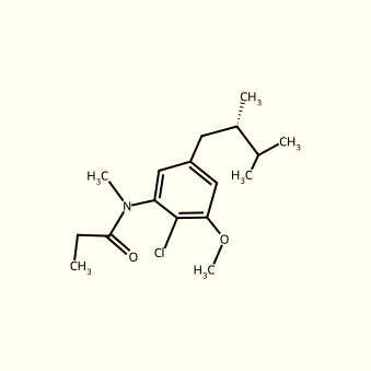 CCC(=O)N(C)c1cc(C[C@H](C)C(C)C)cc(OC)c1Cl